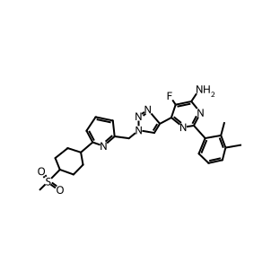 Cc1cccc(-c2nc(N)c(F)c(-c3cn(Cc4cccc(C5CCC(S(C)(=O)=O)CC5)n4)nn3)n2)c1C